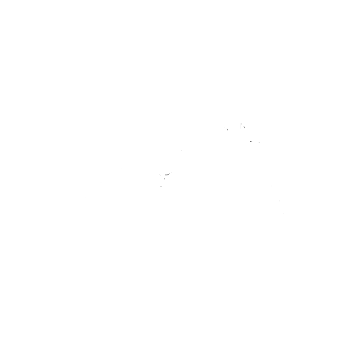 O=C(COc1ccc(Cl)c(F)c1)N[C@@H]1CC[C@@H](c2nnc([C@H]3C[C@@H]3COC(F)(F)F)o2)OC1